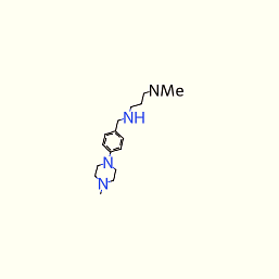 CNCCCNCc1ccc(N2CCN(C)CC2)cc1